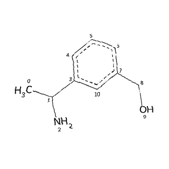 CC(N)c1cccc(CO)c1